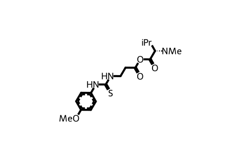 CN[C@H](C(=O)OC(=O)CCNC(=S)Nc1ccc(OC)cc1)C(C)C